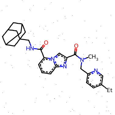 CCc1ccc(CN(C)C(=O)c2cn3c(C(=O)NCC45CC6CC(CC(C6)C4)C5)cccc3n2)nc1